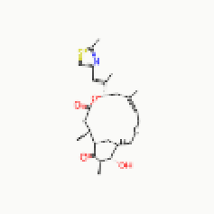 C/C1=C/CCC[C@@H]2C[C@@](C)(C(=O)[C@H](C)[C@H]2O)[C@@H](C)CC(=O)O[C@H](/C(C)=C/c2csc(C)n2)C1